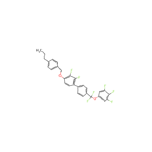 CCCc1ccc(COc2ccc(-c3ccc(C(F)(F)Oc4cc(F)c(F)c(F)c4)cc3)c(F)c2F)cc1